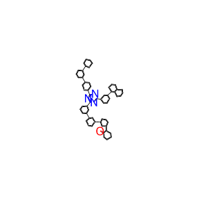 c1ccc(-c2cccc(-c3ccc(-c4nc(-c5cccc(-c6cccc(-c7cccc8c7oc7ccccc78)c6)c5)nc(-c5cccc(-c6cccc7ccccc67)c5)n4)cc3)c2)cc1